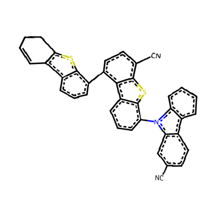 N#Cc1ccc2c3ccccc3n(-c3cccc4c3sc3c(C#N)ccc(-c5cccc6c7c(sc56)CCC=C7)c34)c2c1